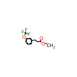 CCOC(=O)CCc1cccc(OC(F)(F)F)c1